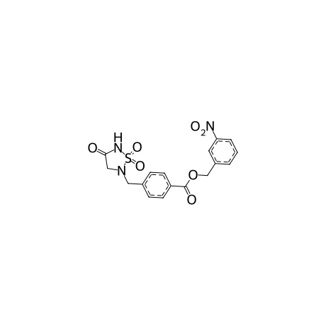 O=C1CN(Cc2ccc(C(=O)OCc3cccc([N+](=O)[O-])c3)cc2)S(=O)(=O)N1